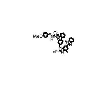 CCCc1nc2c(C)cc(-c3nc4ccccc4n3C)cc2n1Cc1ccc(-c2ccccc2S(=O)(=O)NC(=O)NCc2ccc(OC)cc2)cc1